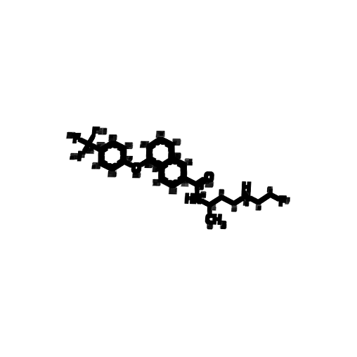 CC(CCNCCF)NC(=O)c1ccc2c(Oc3ccc(C(F)(F)F)cc3)cccc2c1